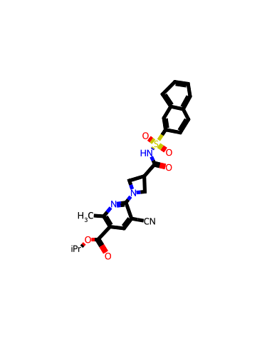 Cc1nc(N2CC(C(=O)NS(=O)(=O)c3ccc4ccccc4c3)C2)c(C#N)cc1C(=O)OC(C)C